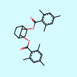 Cc1cc(C)c(C(=O)OC2C3CCC(CC3)C2OC(=O)c2c(C)cc(C)cc2C)c(C)c1